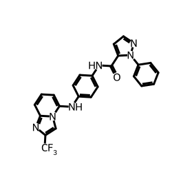 O=C(Nc1ccc(Nc2cccc3nc(C(F)(F)F)cn23)cc1)c1ccnn1-c1ccccc1